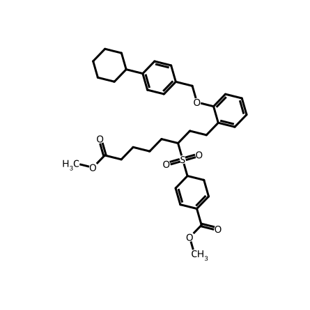 COC(=O)CCCCC(CCc1ccccc1OCc1ccc(C2CCCCC2)cc1)S(=O)(=O)C1C=CC(C(=O)OC)=CC1